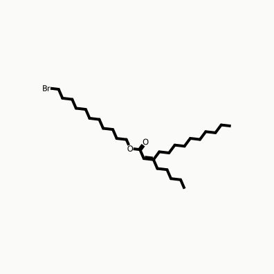 CCCCCCCCCC/C(=C\C(=O)OCCCCCCCCCCCBr)CCCCC